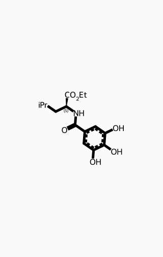 CCOC(=O)[C@H](CC(C)C)NC(=O)c1cc(O)c(O)c(O)c1